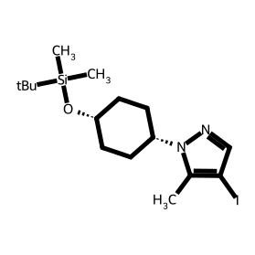 Cc1c(I)cnn1[C@H]1CC[C@@H](O[Si](C)(C)C(C)(C)C)CC1